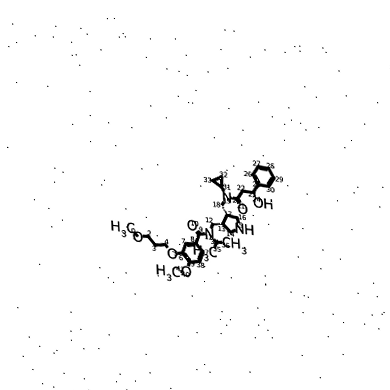 COCCCOc1cc(C(=O)N(C[C@@H]2CNC[C@H]2CN(C(=O)C[C@@H](O)c2ccccc2)C2CC2)C(C)C)ccc1OC